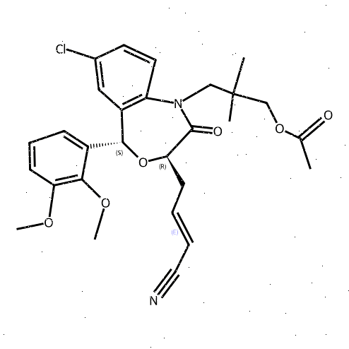 COc1cccc([C@H]2O[C@H](C/C=C/C#N)C(=O)N(CC(C)(C)COC(C)=O)c3ccc(Cl)cc32)c1OC